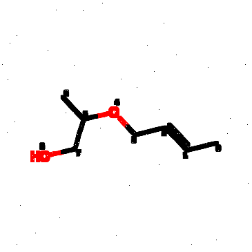 CC=CCOC(C)CO